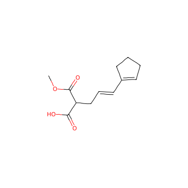 COC(=O)C(C/C=C/C1=CCCC1)C(=O)O